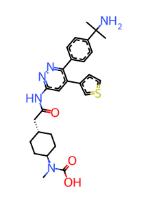 CN(C(=O)O)[C@H]1CC[C@H](CC(=O)Nc2cc(-c3ccsc3)c(-c3ccc(C(C)(C)N)cc3)nn2)CC1